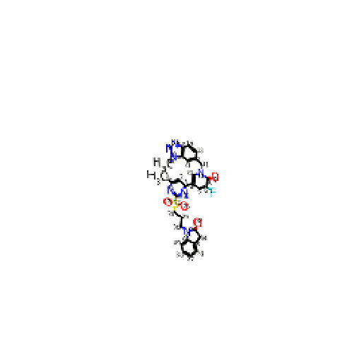 Cc1cc(-c2cc(F)c(=O)n(Cc3ccc4nnn(C)c4c3)c2)nc(S(=O)(=O)CCCN2C(=O)Cc3ccccc32)n1